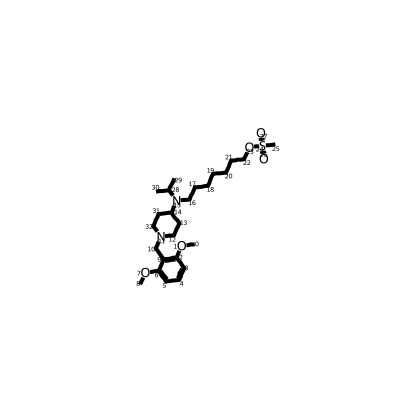 COc1cccc(OC)c1CN1CCC(N(CCCCCCCOS(C)(=O)=O)C(C)C)CC1